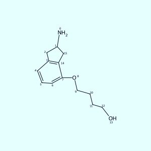 NC1Cc2cccc(OCCCCO)c2C1